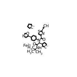 C#Cc1nc(C(=O)N(c2ccc(-c3cnco3)cc2)C(C(=O)NC(C)(C)C)c2cc[cH-]c2)cs1.[Fe+2].c1cc[cH-]c1